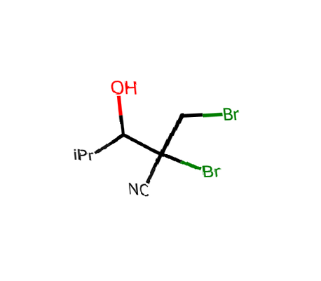 CC(C)C(O)C(Br)(C#N)CBr